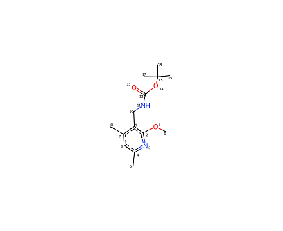 COc1nc(C)cc(C)c1CNC(=O)OC(C)(C)C